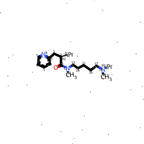 CC(C)[C@H](Cc1ccccn1)C(=O)N(C)CCCCCN(C)C(C)C